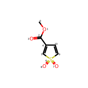 COC(=O)C1=CS(=O)(=O)C=C1